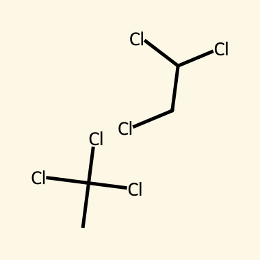 CC(Cl)(Cl)Cl.ClCC(Cl)Cl